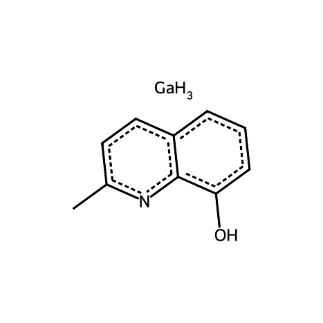 Cc1ccc2cccc(O)c2n1.[GaH3]